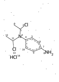 CC(Cl)N(c1ccc(N)cc1)C(C)Cl.Cl